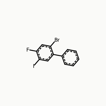 Fc1cc(Br)c(-c2ccccc2)cc1I